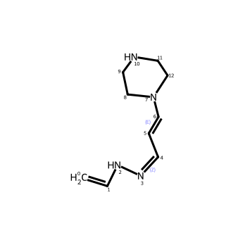 C=CN/N=C\C=C\N1CCNCC1